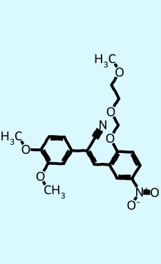 COCCOCOc1ccc([N+](=O)[O-])cc1C=C(C#N)c1ccc(OC)c(OC)c1